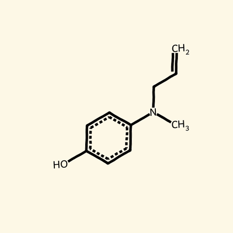 C=CCN(C)c1ccc(O)cc1